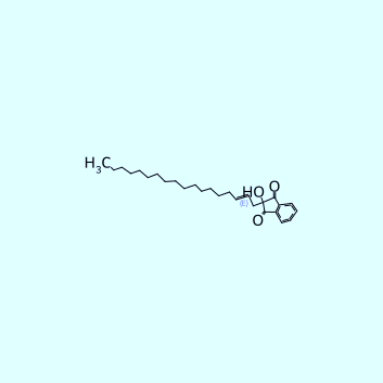 CCCCCCCCCCCCCCC/C=C/CC1(O)C(=O)c2ccccc2C1=O